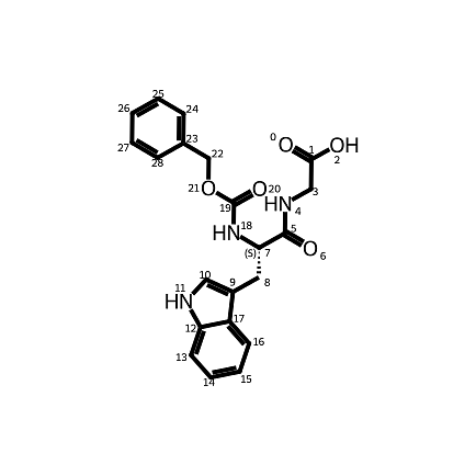 O=C(O)CNC(=O)[C@H](Cc1c[nH]c2ccccc12)NC(=O)OCc1ccccc1